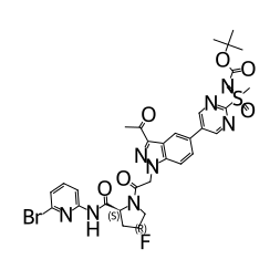 CC(=O)c1nn(CC(=O)N2C[C@H](F)C[C@H]2C(=O)Nc2cccc(Br)n2)c2ccc(-c3cnc(S(C)(=O)=NC(=O)OC(C)(C)C)nc3)cc12